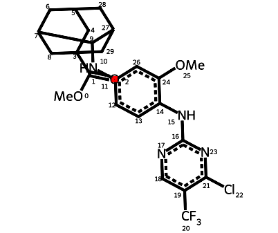 COC(=O)C12CC3CC(C1)C(Nc1ccc(Nc4ncc(C(F)(F)F)c(Cl)n4)c(OC)c1)C(C3)C2